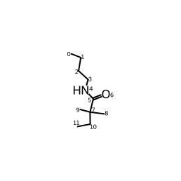 CCCCNC(=O)C(C)(C)CC